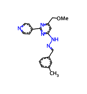 COCc1cc(NN=Cc2cccc(C)c2)nc(-c2ccncc2)n1